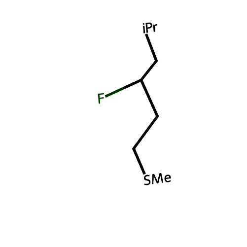 CSCCC(F)CC(C)C